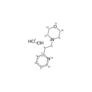 Cl.Cl.c1ccc(CCN2CCOCC2)nc1